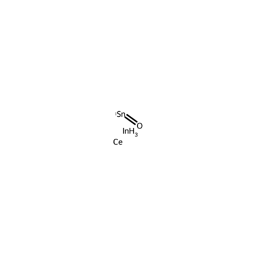 [Ce].[InH3].[O]=[Sn]